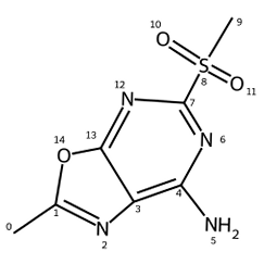 Cc1nc2c(N)nc(S(C)(=O)=O)nc2o1